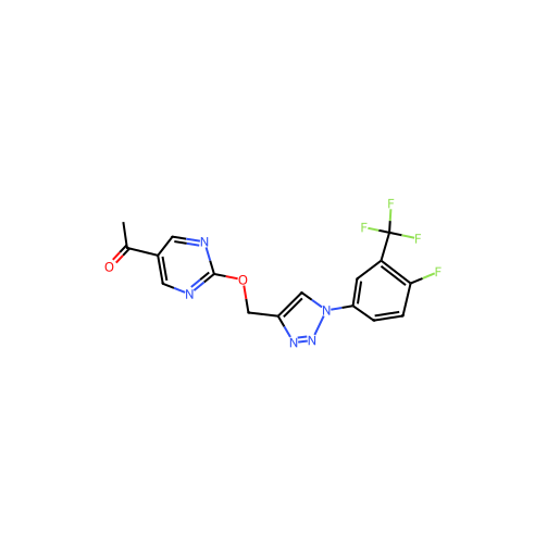 CC(=O)c1cnc(OCc2cn(-c3ccc(F)c(C(F)(F)F)c3)nn2)nc1